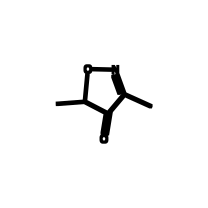 CC1=NOC(C)C1=O